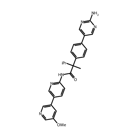 COc1cncc(-c2ccc(NC(=O)C(C)(c3ccc(-c4cnc(N)nc4)cc3)C(C)C)nc2)c1